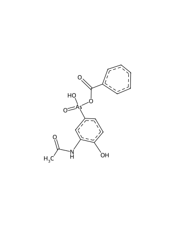 CC(=O)Nc1cc([As](=O)(O)OC(=O)c2ccccc2)ccc1O